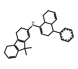 CC1(C)C2=C(CCC=C2)C2=C1C=C(NC1=CCC(c3ccccc3)C3C=CCCC13)CC2